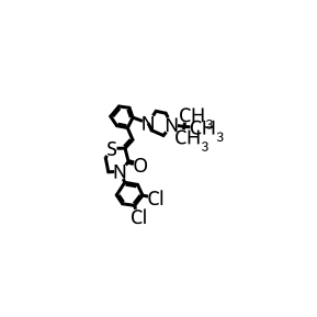 CC(C)(C)N1CCN(c2ccccc2C=C2SCCN(c3ccc(Cl)c(Cl)c3)C2=O)CC1